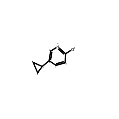 Clc1ccc(C2[CH]C2)cn1